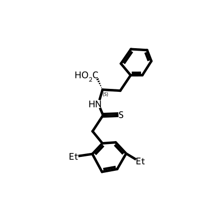 CCc1ccc(CC)c(CC(=S)N[C@@H](Cc2ccccc2)C(=O)O)c1